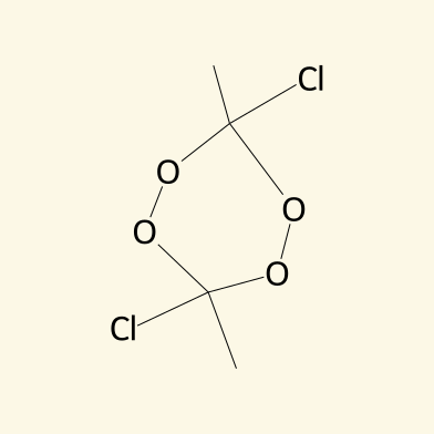 CC1(Cl)OOC(C)(Cl)OO1